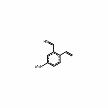 C=Cc1ccc(NC)cc1C=N